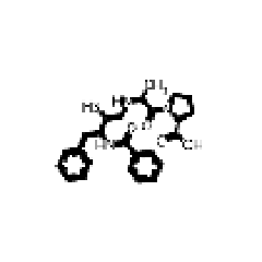 C[C@H](NCC(S)C(Cc1ccccc1)NC(=O)c1ccccc1)C(=O)N1CCC[C@H]1C(=O)O